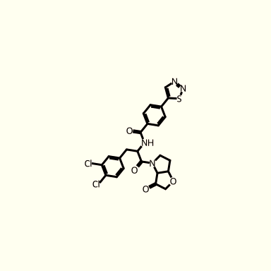 O=C(NC(Cc1ccc(Cl)c(Cl)c1)C(=O)N1CCC2OCC(=O)C21)c1ccc(-c2cnns2)cc1